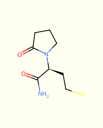 NC(=O)[C@H](CCS)N1CCCC1=O